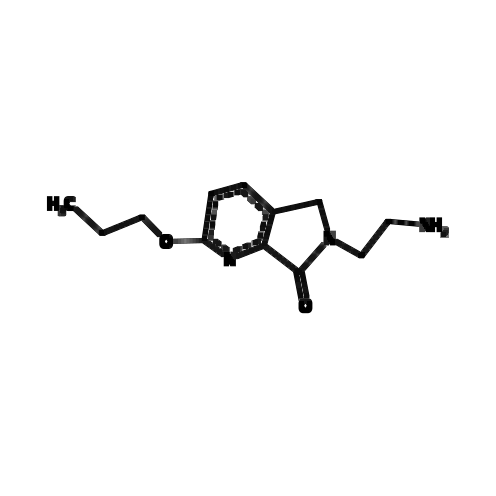 CCCOc1ccc2c(n1)C(=O)N(CCN)C2